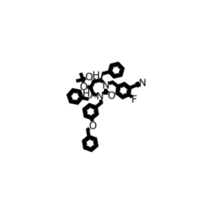 CC1(C)O[C@@H]2[C@@H](O1)[C@@H](Cc1ccccc1)N(Cc1ccc(F)c(C#N)c1)C(=O)N(Cc1cccc(OCc3ccccc3)c1)[C@@H]2Cc1ccccc1